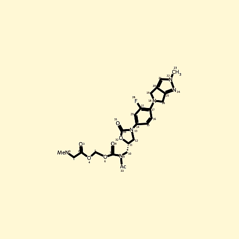 CNCC(=O)OCOC(=O)N(C[C@H]1CN(c2ccc(N3Cc4cn(C)nc4C3)c(F)c2)C(=O)O1)C(C)=O